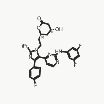 CC(C)c1nc(-c2ccc(F)cc2)c(-c2ccnc(Nc3cc(F)cc(F)c3)n2)n1CC[C@@H]1C[C@@H](O)CC(=O)O1